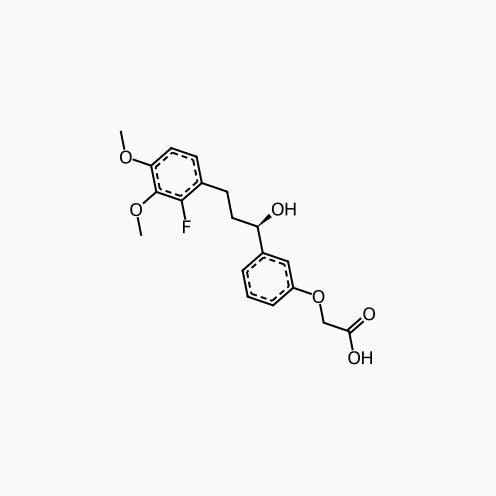 COc1ccc(CC[C@@H](O)c2cccc(OCC(=O)O)c2)c(F)c1OC